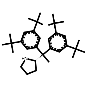 CC(C)(C)c1cc(C(C)(C)C)cc(C(C)(c2cc(C(C)(C)C)cc(C(C)(C)C)c2)[C@@H]2CCCN2)c1